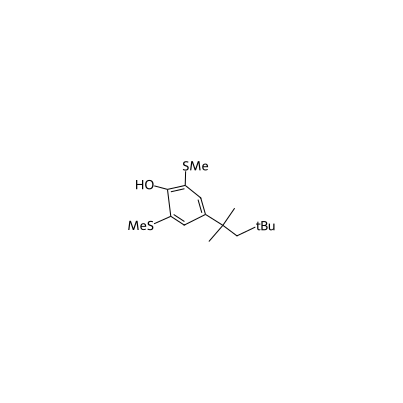 CSc1cc(C(C)(C)CC(C)(C)C)cc(SC)c1O